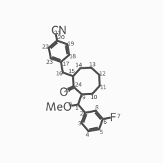 COC(c1cccc(F)c1)C1CCCCCC(Cc2ccc(C#N)cc2)C1=O